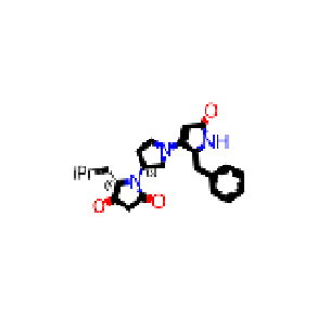 CC(C)C[C@H]1C(=O)CC(=O)N1[C@H]1CCN(C2=CC(=O)NC2Cc2ccccc2)C1